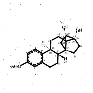 COc1ccc2c(c1)CC[C@@H]1[C@@H]2CC[C@@]2(C)[C@]13CC[C@]2(O)[C@@H](O)C3